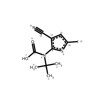 CC(C)(C)N(C(=O)O)c1sc(I)cc1C#N